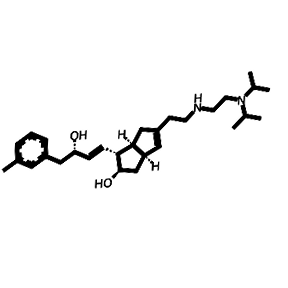 Cc1cccc(C[C@H](O)/C=C/[C@@H]2[C@H]3CC(CCNCCN(C(C)C)C(C)C)=C[C@H]3C[C@H]2O)c1